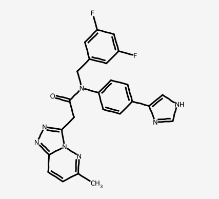 Cc1ccc2nnc(CC(=O)N(Cc3cc(F)cc(F)c3)c3ccc(-c4c[nH]cn4)cc3)n2n1